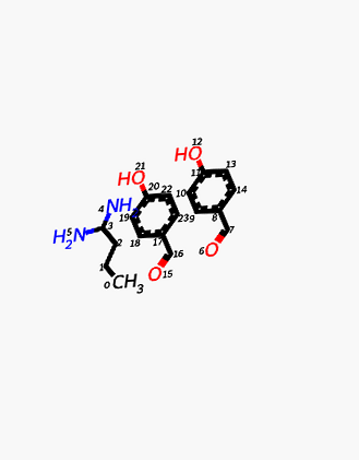 CCCC(N)N.O=Cc1ccc(O)cc1.O=Cc1ccc(O)cc1